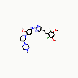 COc1cc(Nc2ncc(CCc3c(F)c(OC)cc(OC)c3F)cn2)ccc1N1CCCC(N2CCN(C)CC2)C1